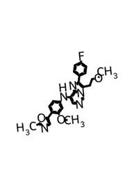 COCCc1c(-c2ccc(F)cc2)nc2c(Nc3ccc(-c4cnc(C)o4)c(OC)c3)cncn12